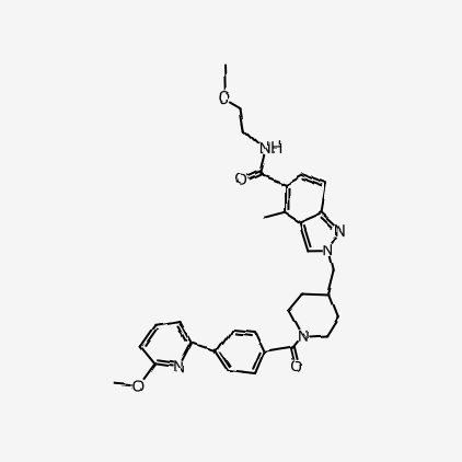 COCCNC(=O)c1ccc2nn(CC3CCN(C(=O)c4ccc(-c5cccc(OC)n5)cc4)CC3)cc2c1C